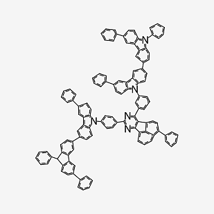 c1ccc(-c2ccc3c(c2)-c2cc(-c4ccc5c(c4)c4cc(-c6ccccc6)ccc4n5-c4ccc(-c5nc(-c6cccc(-n7c8ccc(-c9ccccc9)cc8c8cc(-c9ccc%10c(c9)c9cc(-c%11ccccc%11)ccc9n%10-c9ccccc9)ccc87)c6)c6c(n5)-c5cccc7c(-c8ccccc8)ccc-6c57)cc4)ccc2C3c2ccccc2)cc1